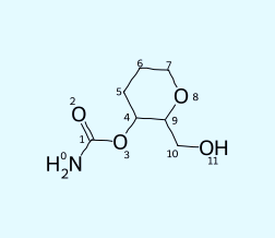 NC(=O)OC1CCCOC1CO